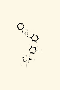 O=c1cnn(-c2cc(Cl)c(Oc3ccc(O)c(CNCc4ccccc4)c3)c(Cl)c2)c(=O)[nH]1